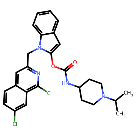 CC(C)N1CCC(NC(=O)Oc2cc3ccccc3n2Cc2cc3ccc(Cl)cc3c(Cl)n2)CC1